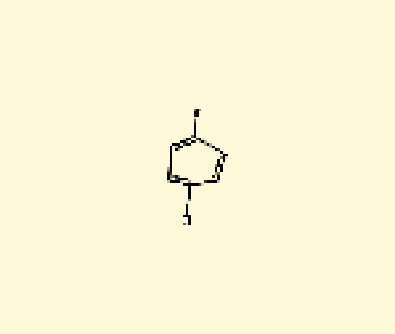 [B]c1ccc(Cl)cc1